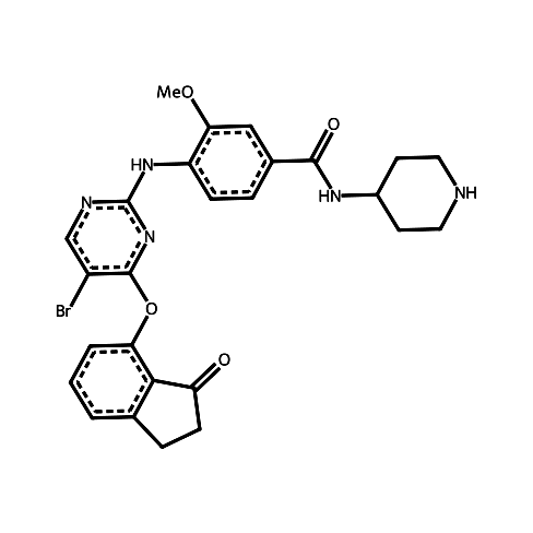 COc1cc(C(=O)NC2CCNCC2)ccc1Nc1ncc(Br)c(Oc2cccc3c2C(=O)CC3)n1